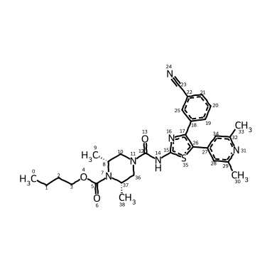 CCCCOC(=O)N1[C@H](C)CN(C(=O)Nc2nc(-c3cccc(C#N)c3)c(-c3cc(C)nc(C)c3)s2)C[C@@H]1C